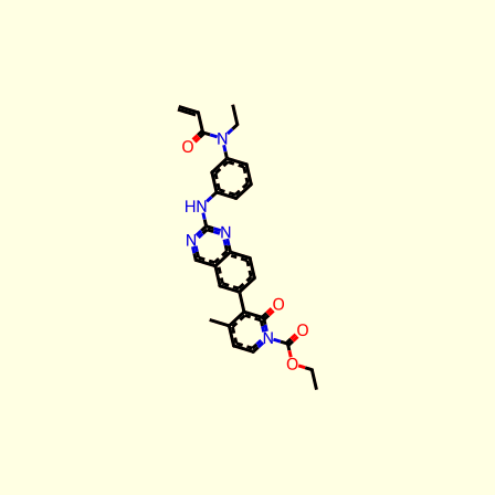 C=CC(=O)N(CC)c1cccc(Nc2ncc3cc(-c4c(C)ccn(C(=O)OCC)c4=O)ccc3n2)c1